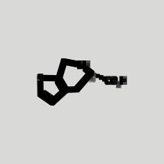 O=C(O)[C@@H]1Cc2ccsc2CN1